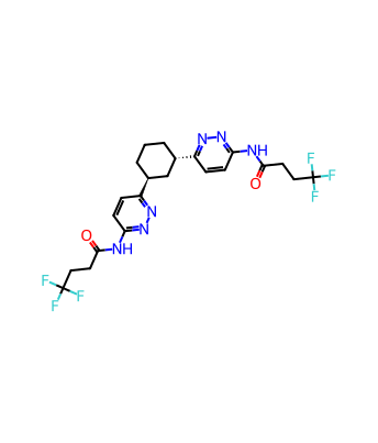 O=C(CCC(F)(F)F)Nc1ccc([C@H]2CCC[C@H](c3ccc(NC(=O)CCC(F)(F)F)nn3)C2)nn1